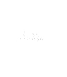 BC1(B)CN(C(=O)c2ncc(N3CCC4(CC3)Cc3ccc(C)cc3C4N)nc2N)Cc2sc(N)nc21